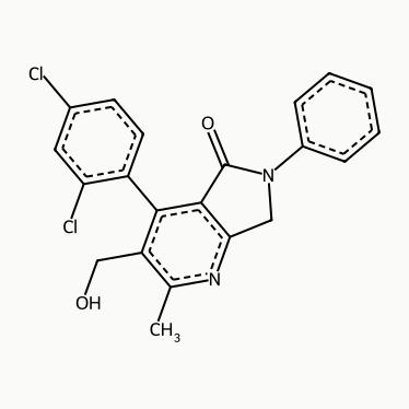 Cc1nc2c(c(-c3ccc(Cl)cc3Cl)c1CO)C(=O)N(c1ccccc1)C2